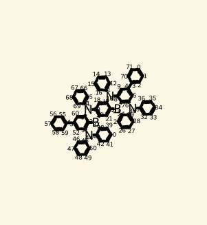 c1ccc(-c2cc3c4c(c2)N(c2ccccc2)c2cc5c(cc2B4c2ccccc2N3c2ccccc2)B2c3ccccc3N(c3ccccc3)c3cc(-c4ccccc4)cc(c32)N5c2ccccc2)cc1